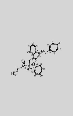 CCOC(=O)C(C)(Cc1ccc(OCc2ccccc2)c2ccccc12)Oc1ccccc1